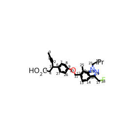 CC#CC(CC(=O)O)c1ccc(OCc2ccc3c(CF)nn(CC(C)C)c3c2C)cc1